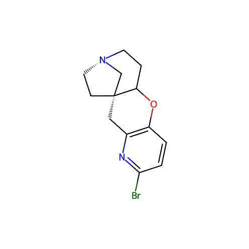 Brc1ccc2c(n1)C[C@@]13CC[N@](CCC1O2)C3